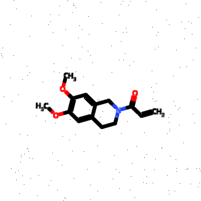 C=CC(=O)N1CCc2cc(OC)c(OC)cc2C1